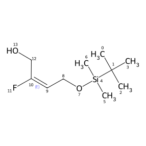 CC(C)(C)[Si](C)(C)OC/C=C(/F)CO